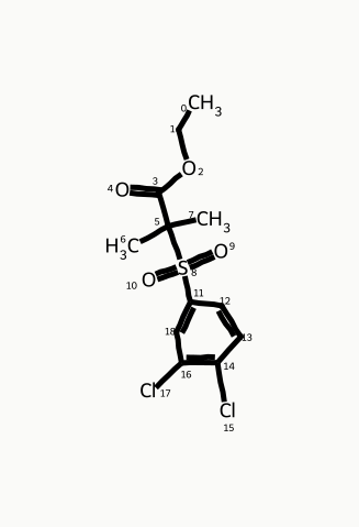 CCOC(=O)C(C)(C)S(=O)(=O)c1ccc(Cl)c(Cl)c1